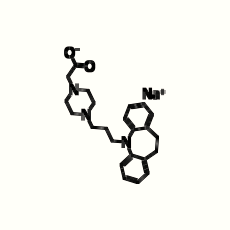 O=C([O-])CN1CCN(CCCN2c3ccccc3CCc3ccccc32)CC1.[Na+]